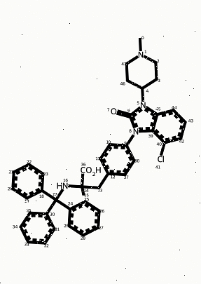 CN1CCC(n2c(=O)n(-c3ccc(CC(C)(NC(c4ccccc4)(c4ccccc4)c4ccccc4)C(=O)O)cc3)c3c(Cl)cccc32)CC1